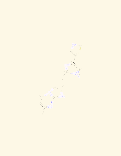 Cc1cc(C)n2cc(/C=C/c3nc(-c4cncs4)cn3C)nc2n1